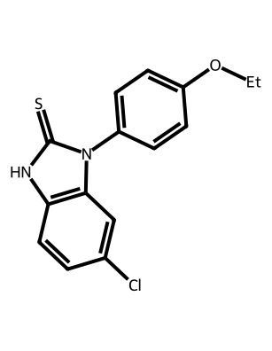 CCOc1ccc(-n2c(=S)[nH]c3ccc(Cl)cc32)cc1